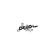 CC#CCOc1ccc(S(=O)(=O)NC(Cc2c(C)[nH]c3ccc(Cl)cc23)C(=O)O)cc1